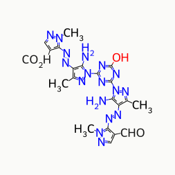 Cc1nn(-c2nc(O)nc(-n3nc(C)c(N=Nc4c(C(=O)O)cnn4C)c3N)n2)c(N)c1N=Nc1c(C=O)cnn1C